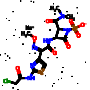 CON=C(C(=O)NC1C(=O)N(S(=O)(=O)[O-])C1C(=O)N(C)C)c1csc(NC(=O)CCl)n1.[Na+]